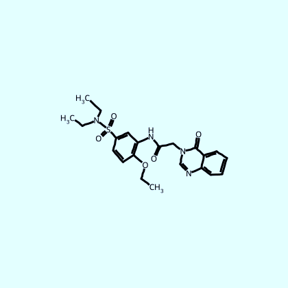 CCOc1ccc(S(=O)(=O)N(CC)CC)cc1NC(=O)Cn1cnc2ccccc2c1=O